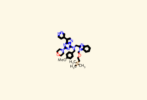 COc1ccc(CN(Cc2nc3ccccc3n2COCCS(C)(C)C)c2nc(N3CCOCC3)nc3c(-c4ccnnc4)cnn23)cc1